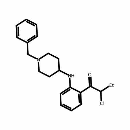 CCC(Cl)C(=O)c1ccccc1NC1CCN(Cc2ccccc2)CC1